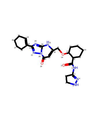 O=C(NC1=NNCC1)C1CCCCC1OCc1cc(=O)n2nc(C3=CCCCC3)nc2[nH]1